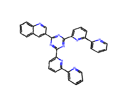 c1ccc(-c2cccc(-c3nc(-c4cnc5ccccc5c4)nc(-c4cccc(-c5ccccn5)n4)n3)n2)nc1